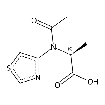 CC(=O)N(c1cscn1)[C@@H](C)C(=O)O